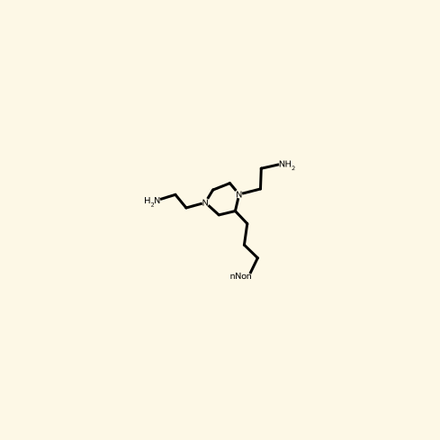 CCCCCCCCCCCCC1CN(CCN)CCN1CCN